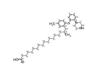 Cc1ccc(Sc2ccccc2N2CCNCC2)c(CC(C)CCCCCCCCCCCCCCCC(=O)O)c1